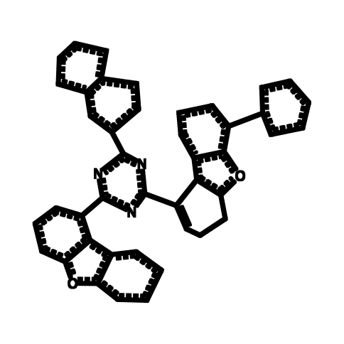 C1=C(c2nc(-c3ccc4ccccc4c3)nc(-c3cccc4oc5ccccc5c34)n2)c2c(oc3c(-c4ccccc4)cccc23)CC1